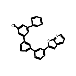 Clc1cc(-c2ccccc2)cc(-c2cccc(-c3cccc(-c4cc5cccnc5s4)c3)c2)c1